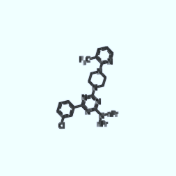 CCCN(CCC)c1nc(-c2cccc(Cl)c2)nc(N2CCN(c3ncccc3C(F)(F)F)CC2)n1